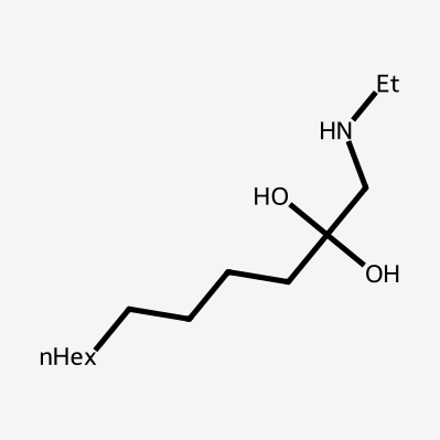 CCCCCCCCCCC(O)(O)CNCC